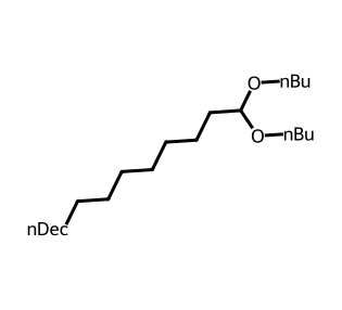 CCCCCCCCCCCCCCCCCC(OCCCC)OCCCC